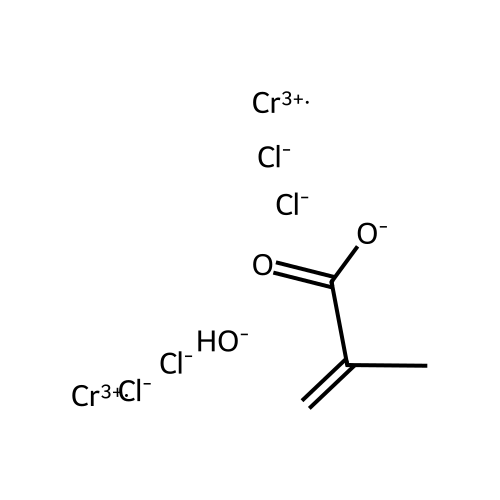 C=C(C)C(=O)[O-].[Cl-].[Cl-].[Cl-].[Cl-].[Cr+3].[Cr+3].[OH-]